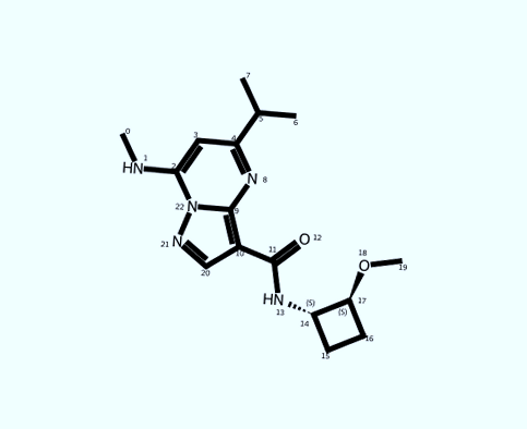 CNc1cc(C(C)C)nc2c(C(=O)N[C@H]3CC[C@@H]3OC)cnn12